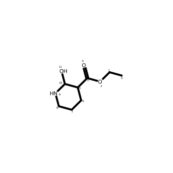 CCOC(=O)C1CCCNC1O